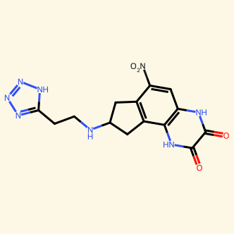 O=c1[nH]c2cc([N+](=O)[O-])c3c(c2[nH]c1=O)CC(NCCc1nnn[nH]1)C3